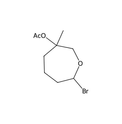 CC(=O)OC1(C)CCCC(Br)OC1